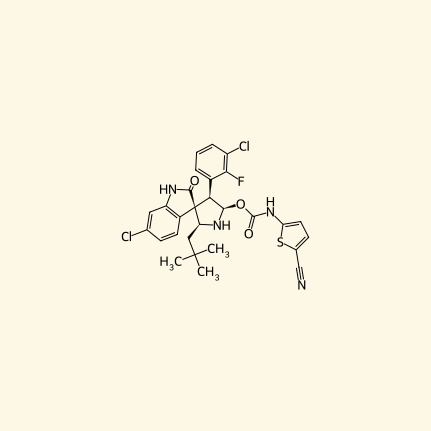 CC(C)(C)C[C@@H]1N[C@H](OC(=O)Nc2ccc(C#N)s2)[C@H](c2cccc(Cl)c2F)[C@]12C(=O)Nc1cc(Cl)ccc12